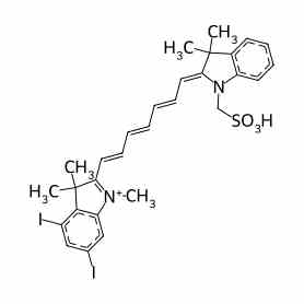 C[N+]1=C(/C=C/C=C/C=C/C=C2\N(CS(=O)(=O)O)c3ccccc3C2(C)C)C(C)(C)c2c(I)cc(I)cc21